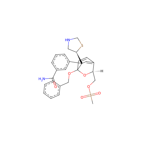 CS(=O)(=O)OC[C@H]1OC2(OCc3ccccc3)C=CC1=CC2(c1cccc(C(N)=O)c1)[C@H]1CNCS1